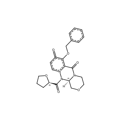 O=C1c2c(OCc3ccccc3)c(=O)ccn2N(C(=O)[C@H]2CCCO2)[C@@H]2COCCN12